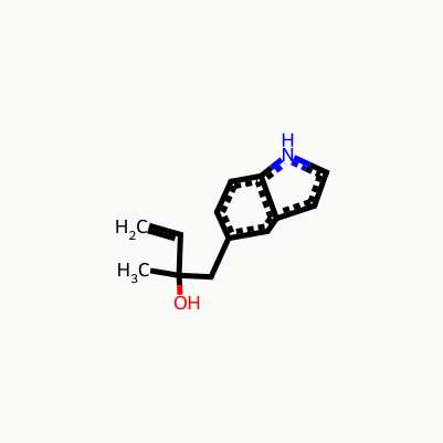 C=CC(C)(O)Cc1ccc2[nH]ccc2c1